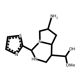 COC(O)C1CNC(c2nccs2)N2CC(N)CC12